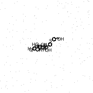 C[C@]12C=CC(=O)C=C1CC[C@@H]1[C@@H]2[C@@H](O)C[C@@]2(C)[C@H]1C[C@H]1O[C@@H](c3cccc(Sc4ccc(CO)cc4)c3)O[C@]12C(=O)CO